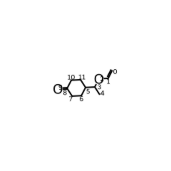 C=COC(C)C1CCC(=O)CC1